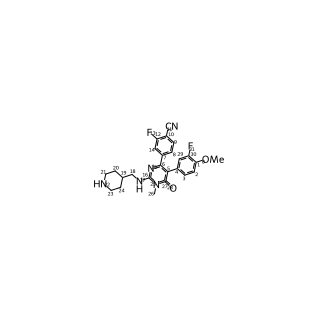 COc1ccc(-c2c(-c3ccc(C#N)c(F)c3)nc(NCC3CCNCC3)n(C)c2=O)cc1F